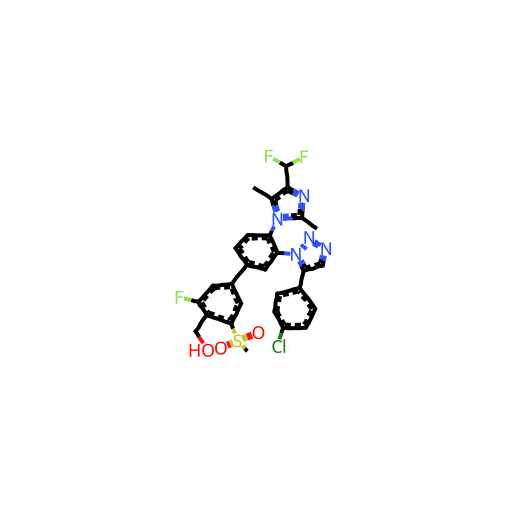 Cc1nc(C(F)F)c(C)n1-c1ccc(-c2cc(F)c(CO)c(S(C)(=O)=O)c2)cc1-n1nncc1-c1ccc(Cl)cc1